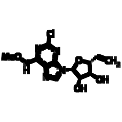 C=C[C@H]1O[C@@H](n2cnc3c(NOC)nc(Cl)nc32)[C@H](O)[C@@H]1O